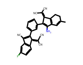 CC1=CC2=C(CC1)C(=C(C#N)C#N)C(c1cccc(C3=C(C#N)c4cc(F)ccc4C3=C(C#N)C#N)c1)=C2N